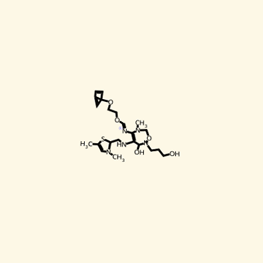 CC1=CN(C)C(CNC2=C(/N=C/OCCOC34C=CC3=C4)N(C)CON(CCCO)C2O)S1